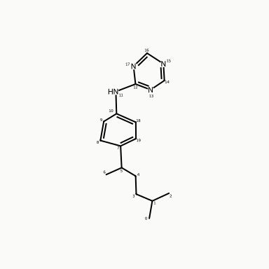 CC(C)CCC(C)c1ccc(Nc2ncncn2)cc1